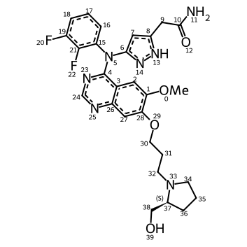 COc1cc2c(N(c3cc(CC(N)=O)[nH]n3)c3cccc(F)c3F)ncnc2cc1OCCCN1CCC[C@H]1CO